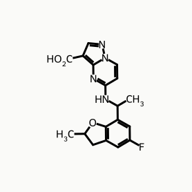 CC1Cc2cc(F)cc(C(C)Nc3ccn4ncc(C(=O)O)c4n3)c2O1